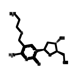 NCCSCc1cn([C@H]2C[C@H](O)[C@@H](CO)O2)c(=O)nc1N